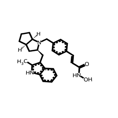 Cc1[nH]c2ccccc2c1C[C@H]1C[C@H]2CCC[C@H]2N1Cc1ccc(C=CC(=O)NO)cc1